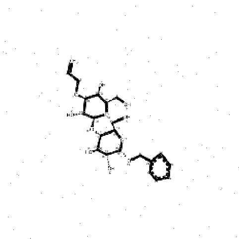 C=CCO[C@H]1[C@@H](O)[C@@H](CO)O[C@@H](O[C@H]2[C@H](O)[C@@H](O)[C@@H](OCc3ccccc3)O[C@@H]2CO)[C@@H]1O